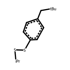 CC(C)SSc1ccc(CC(C)(C)C)cc1